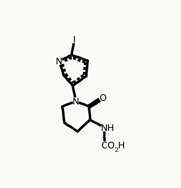 O=C(O)NC1CCCN(c2ccc(I)nc2)C1=O